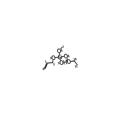 C=CCO[Si](O)(OC)OOCC